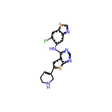 Fc1cc2scnc2cc1Nc1ncnc2sc(C3=CCCNC3)cc12